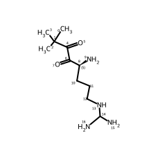 CC(C)(C)C(=O)C(=O)[C@@H](N)CCCNC(N)N